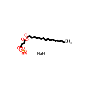 CCCCCCCCC=CCCCCCCCC(=O)OC(=O)CCC(=O)OS(=O)(=O)O.[NaH]